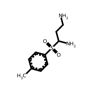 Cc1ccc(S(=O)(=O)C(N)CCN)cc1